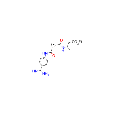 CCOC(=O)CC(C)NC(=O)C1CC1C(=O)Nc1ccc(C(=N)N)cc1